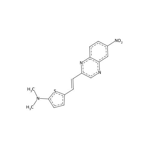 CN(C)c1ccc(/C=C/c2cnc3cc([N+](=O)[O-])ccc3n2)s1